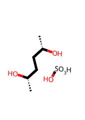 C[C@H](O)CC[C@H](C)O.O=S(=O)(O)O